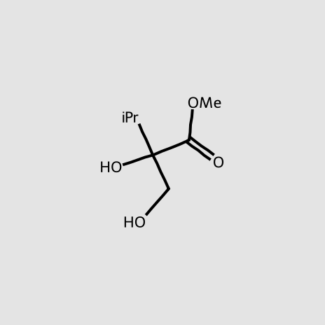 COC(=O)C(O)(CO)C(C)C